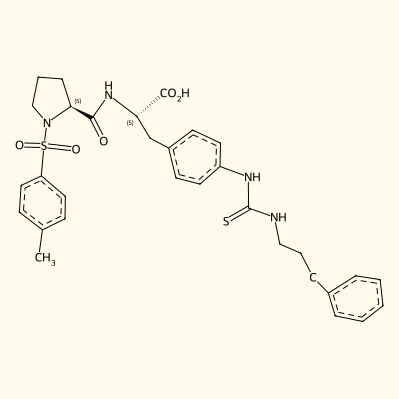 Cc1ccc(S(=O)(=O)N2CCC[C@H]2C(=O)N[C@@H](Cc2ccc(NC(=S)NCCCc3ccccc3)cc2)C(=O)O)cc1